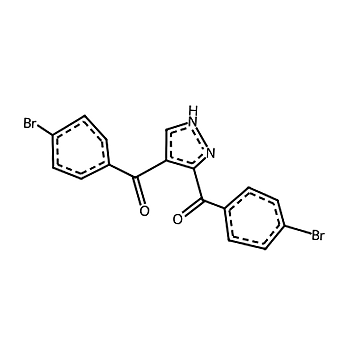 O=C(c1ccc(Br)cc1)c1c[nH]nc1C(=O)c1ccc(Br)cc1